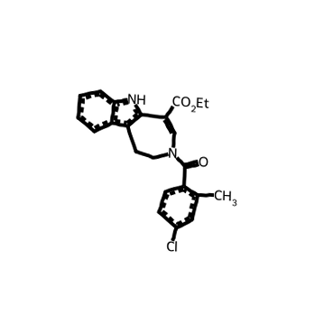 CCOC(=O)C1=CN(C(=O)c2ccc(Cl)cc2C)CCc2c1[nH]c1ccccc21